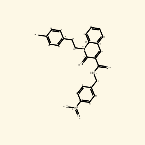 O=C(NCc1ccc([N+](=O)[O-])cc1)c1cc2ccccc2n(CCc2ccc(I)cc2)c1=O